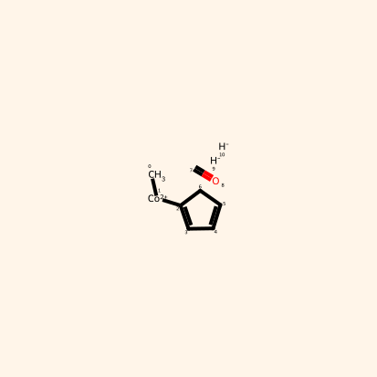 [CH3][Co+2][C]1=CC=CC1.[C]=O.[H-].[H-]